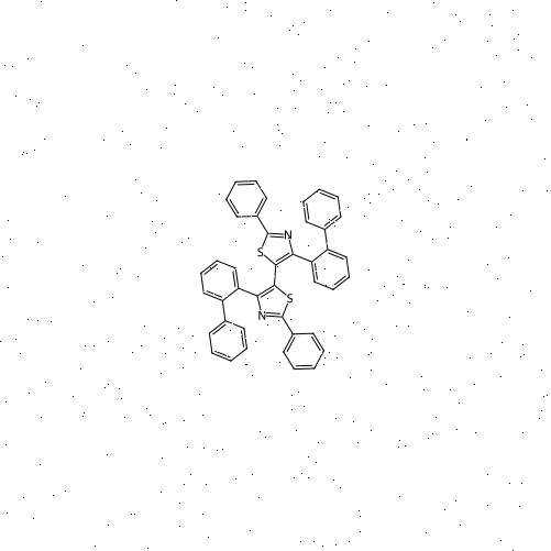 c1ccc(-c2nc(-c3ccccc3-c3ccccc3)c(-c3sc(-c4ccccc4)nc3-c3ccccc3-c3ccccc3)s2)cc1